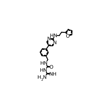 N=C(N)NC(=O)NCc1cccc(-c2cnc(NCCc3ccco3)nc2)c1